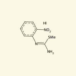 CS/C(N)=N\c1ccccc1[N+](=O)[O-].I